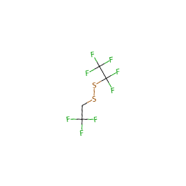 FC(F)(F)CSSC(F)(F)C(F)(F)F